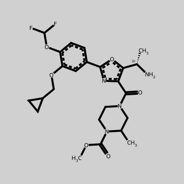 COC(=O)N1CCN(C(=O)c2nc(-c3ccc(OC(F)F)c(OCC4CC4)c3)oc2[C@H](C)N)CC1C